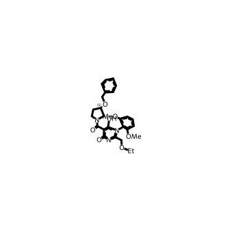 CCOCc1nc(=O)c(C(=O)N2CC[C@H](OCc3ccccc3)C2)c(O)n1-c1c(OC)cccc1OC